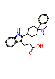 CN(C)C1(c2ccccc2)CCC(c2[nH]c3ccccc3c2CCC(=O)O)CC1